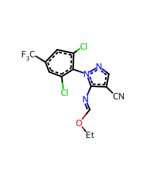 CCOC=Nc1c(C#N)cnn1-c1c(Cl)cc(C(F)(F)F)cc1Cl